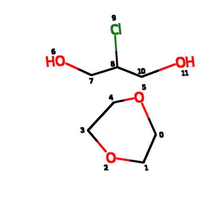 C1COCCO1.OCC(Cl)CO